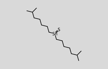 CC(C)CCCC[CH2][Sn](=[S])[CH2]CCCCC(C)C